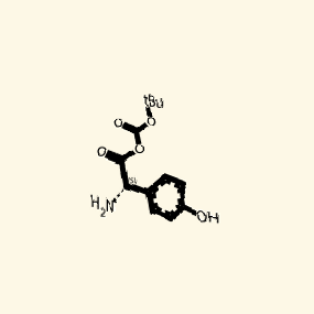 CC(C)(C)OC(=O)OC(=O)[C@@H](N)c1ccc(O)cc1